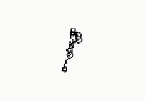 O=C(CCN1Cc2ccc(OCCCCCc3ccccc3)cc2C1)OC(=O)C(F)(F)F